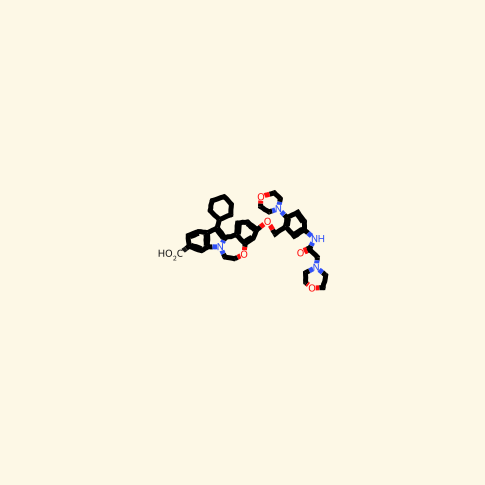 O=C(CN1CCOCC1)Nc1ccc(N2CCOCC2)c(COc2ccc3c(c2)OCCn2c-3c(C3CCCCC3)c3ccc(C(=O)O)cc32)c1